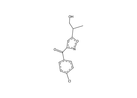 CC(CO)c1cc(C(=O)c2ccc(Cl)cc2)no1